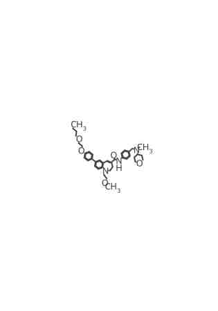 CCCCOCCOc1ccc(-c2ccc3c(c2)C=C(C(=O)Nc2ccc(CN(C)C4CCOCC4)cc2)CCN3CCOC)cc1